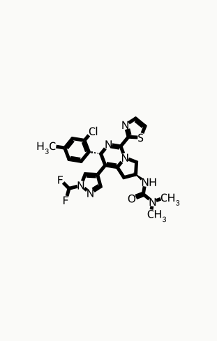 Cc1ccc([C@@H]2N=C(c3nccs3)N3C[C@@H](NC(=O)N(C)C)CC3=C2c2cnn(C(F)F)c2)c(Cl)c1